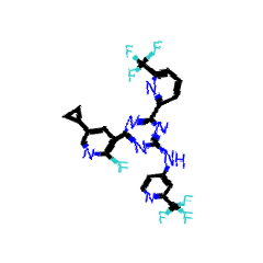 Fc1ncc(C2CC2)cc1-c1nc(Nc2ccnc(C(F)(F)F)c2)nc(-c2cccc(C(F)(F)F)n2)n1